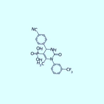 CC1=C(P(=O)(O)O)C(c2ccc(C#N)cc2)NC(=O)N1c1cccc(C(F)(F)F)c1